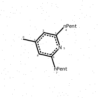 [CH2]c1cc(CCCCC)nc(CCCCC)c1